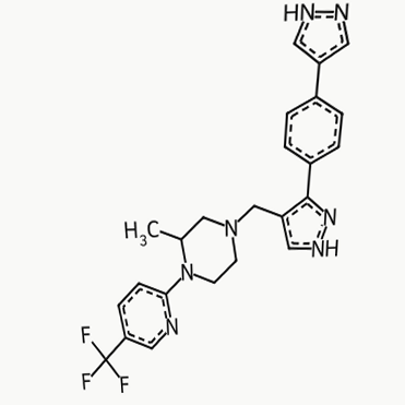 CC1CN(Cc2c[nH]nc2-c2ccc(-c3cn[nH]c3)cc2)CCN1c1ccc(C(F)(F)F)cn1